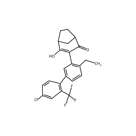 CCc1ccc(-c2ccc(Cl)cc2C(F)(F)F)cc1C1=C(O)C2CCC(C2)C1=O